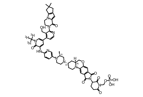 [2H]C([2H])([2H])n1cc(-c2ccnc(N3CCn4c(cc5c4CC(C)(C)C5)C3=O)c2CO)cc(Nc2ccc(N3CCN([C@H]4CCN5c6cc7c(cc6OC[C@H]5C4)C(=O)N(C4CCC(=O)N(COP(=O)(O)O)C4=O)C7=O)C[C@@H]3C)cn2)c1=O